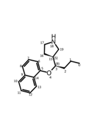 CCC[C@@H](Oc1cccc2ccccc12)[C@H]1CCNC1